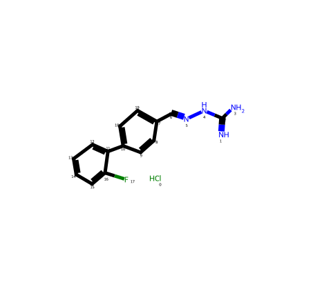 Cl.N=C(N)NN=Cc1ccc(-c2ccccc2F)cc1